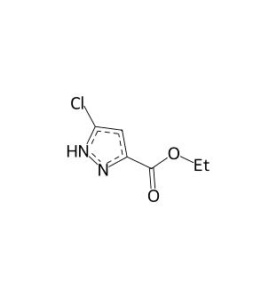 CCOC(=O)c1cc(Cl)[nH]n1